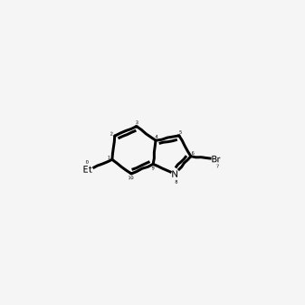 CCC1C=CC2=CC(Br)=NC2=C1